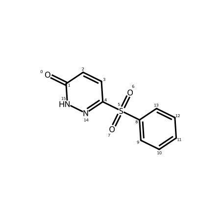 O=c1ccc(S(=O)(=O)c2ccccc2)n[nH]1